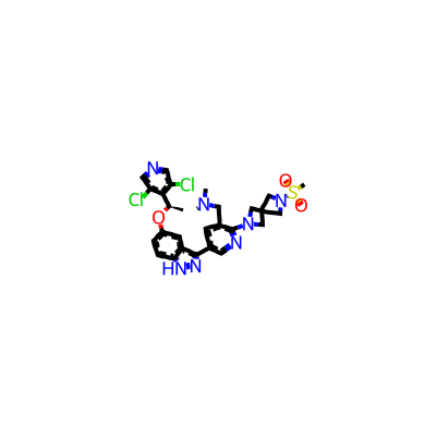 C[C@@H](Oc1ccc2[nH]nc(-c3cnc(N4CC5(C4)CN(S(C)(=O)=O)C5)c(CN(C)C)c3)c2c1)c1c(Cl)cncc1Cl